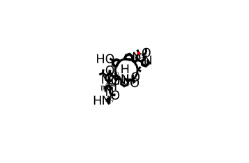 CCn1c(-c2cccnc2[C@H](C)OC)c2c3cc(ccc31)-c1cc(O)cc(c1)C[C@H](NC(=O)C(C(C)C)N(C)C(=O)[C@@H]1CN(C(=O)[C@H]3CN3)C[C@@H]1C)C(=O)N1CCC[C@H](N1)C(=O)OCC(C)(C)C2